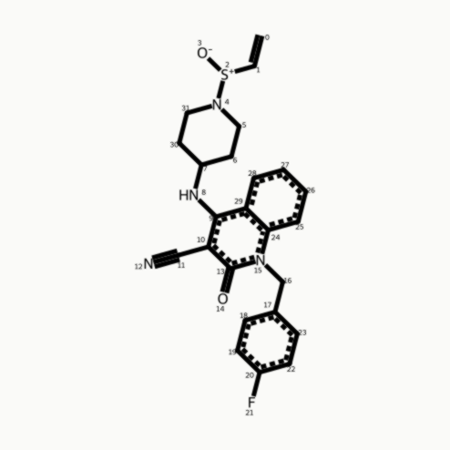 C=C[S+]([O-])N1CCC(Nc2c(C#N)c(=O)n(Cc3ccc(F)cc3)c3ccccc23)CC1